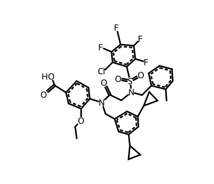 CCOc1cc(C(=O)O)ccc1N(Cc1cc(C2CC2)cc(C2CC2)c1)C(=O)CN(Cc1ccccc1C)S(=O)(=O)c1c(F)c(F)c(F)c(F)c1Cl